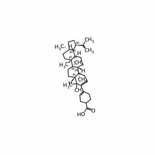 C=C(C)[C@@H]1CC[C@]2(C)CC[C@]3(C)[C@H](CC[C@@H]4[C@@]5(C)CC=C(C6=CCC(C(=O)O)CC6)C(C)(C)[C@@H]5CC[C@]43C)[C@@H]12